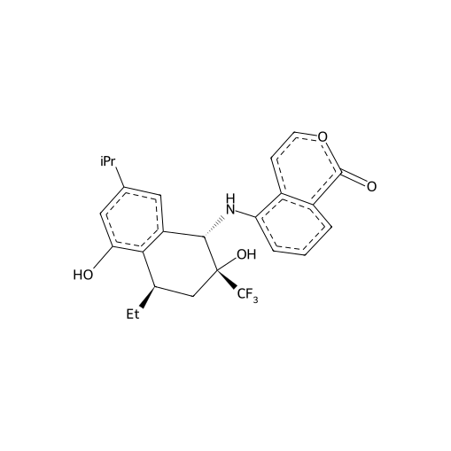 CC[C@@H]1C[C@](O)(C(F)(F)F)[C@@H](Nc2cccc3c(=O)occc23)c2cc(C(C)C)cc(O)c21